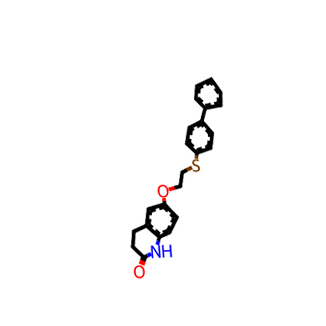 O=C1CCc2cc(OCCSc3ccc(-c4ccccc4)cc3)ccc2N1